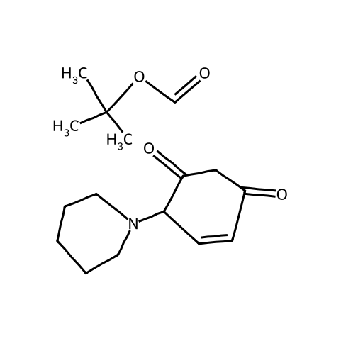 CC(C)(C)OC=O.O=C1C=CC(N2CCCCC2)C(=O)C1